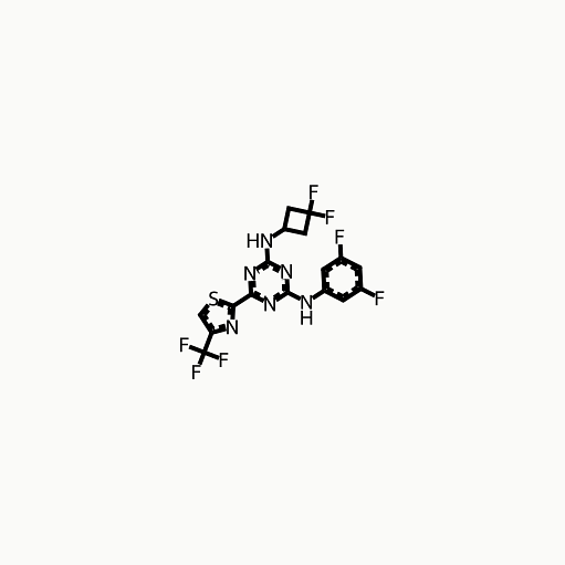 Fc1cc(F)cc(Nc2nc(NC3CC(F)(F)C3)nc(-c3nc(C(F)(F)F)cs3)n2)c1